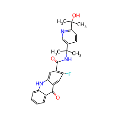 CC(C)(O)c1ccc(C(C)(C)NC(=O)c2cc3[nH]c4ccccc4c(=O)c3cc2F)cn1